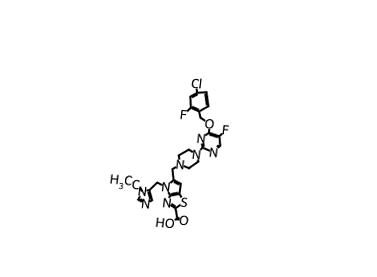 CCn1cncc1Cn1c(CN2CCN(c3ncc(F)c(OCc4ccc(Cl)cc4F)n3)CC2)cc2sc(C(=O)O)nc21